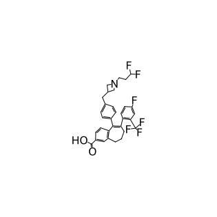 O=C(O)c1ccc2c(c1)CCCC(c1ccc(F)cc1C(F)(F)F)=C2c1ccc(CC2CN(CCC(F)F)C2)cc1